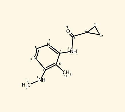 CNc1ncnc(NC(=O)C2CC2)c1C